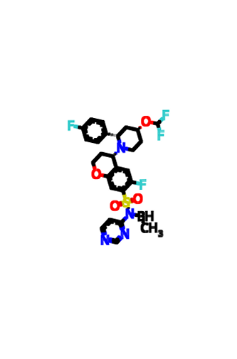 CBN(c1ccncn1)S(=O)(=O)c1cc2c(cc1F)[C@@H](N1CC[C@@H](OC(F)F)C[C@H]1c1ccc(F)cc1)CCO2